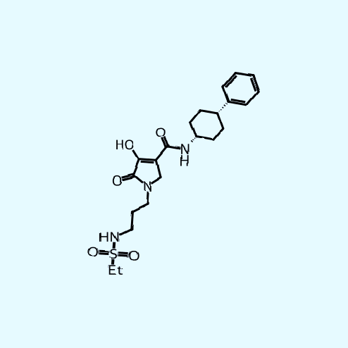 CCS(=O)(=O)NCCCN1CC(C(=O)N[C@H]2CC[C@@H](c3ccccc3)CC2)=C(O)C1=O